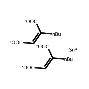 CCCC/C(=C/C(=O)[O-])C(=O)[O-].CCCC/C(=C/C(=O)[O-])C(=O)[O-].[Sn+4]